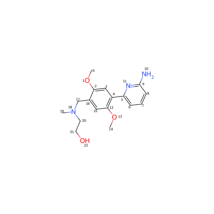 COc1cc(-c2cccc(N)n2)c(OC)cc1CN(C)CCO